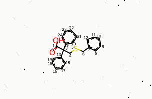 O=C(O)C(CSCc1ccccc1)(c1ccccc1)c1ccccc1